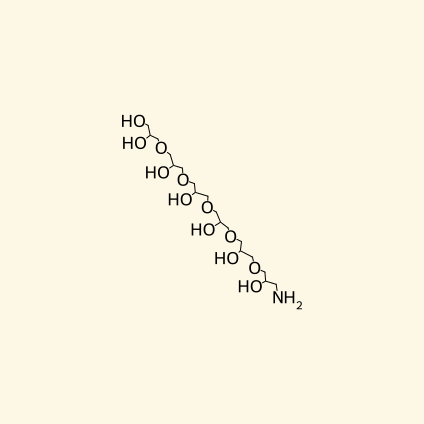 NCC(O)COCC(O)COCC(O)COCC(O)COCC(O)COCC(O)CO